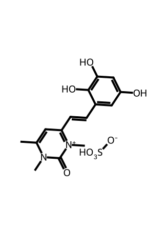 Cc1cc(C=Cc2cc(O)cc(O)c2O)[n+](C)c(=O)n1C.O=S(=O)([O-])O